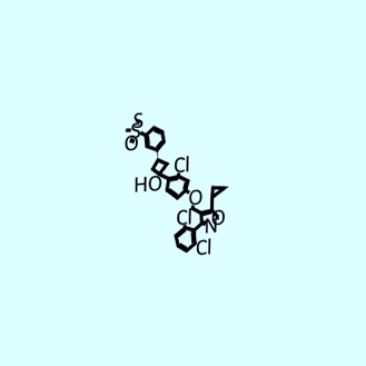 CS(=O)(=S)c1cccc([C@H]2C[C@](O)(c3ccc(OCc4c(-c5c(Cl)cccc5Cl)noc4C4CC4)cc3Cl)C2)c1